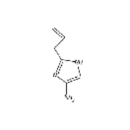 C=CCc1nc(N)c[nH]1